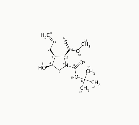 C=CC[C@@H]1[C@H](O)CN(C(=O)OC(C)(C)C)[C@@H]1C(=S)OC